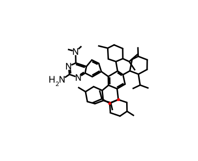 CC1CCC(C(C)C)C(c2cc(C3CC(C)CCC3C(C)C)c(C3CC(C)CCC3C(C)C)c(-c3ccc4c(N(C)C)nc(N)nc4c3)c2C2CC(C)CCC2C(C)C)C1